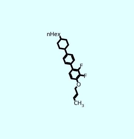 C/C=C/COc1ccc(-c2ccc(C3CCC(CCCCCC)CC3)cc2)c(F)c1F